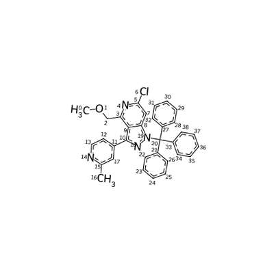 COCc1nc(Cl)cc2c1c(-c1ccnc(C)c1)nn2C(c1ccccc1)(c1ccccc1)c1ccccc1